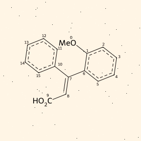 COc1ccccc1C(=CC(=O)O)c1ccccc1